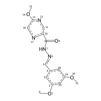 COc1cc(/C=N/NC(=O)c2cnc(OC)cn2)cc(OC)c1